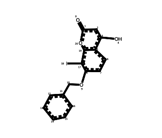 O=c1cc(O)c2ccc(OCc3ccccc3)c(I)c2o1